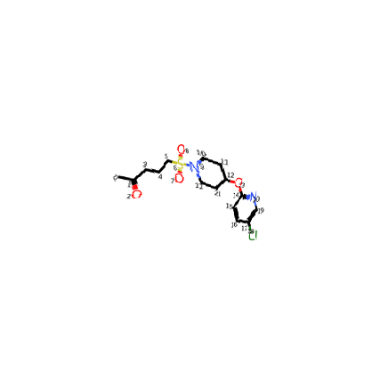 CC(=O)CCCS(=O)(=O)N1CCC(Oc2ccc(Cl)cn2)CC1